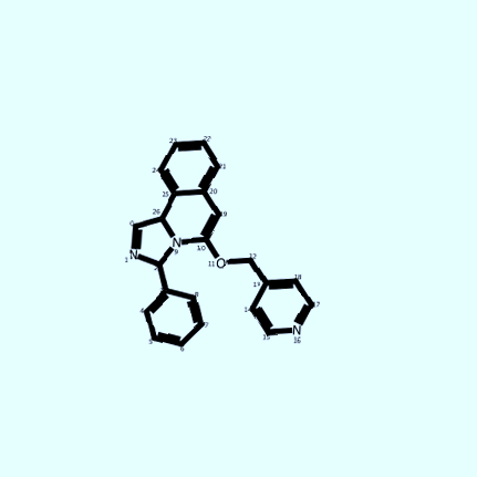 C1=NC(c2ccccc2)N2C(OCc3ccncc3)=Cc3ccccc3C12